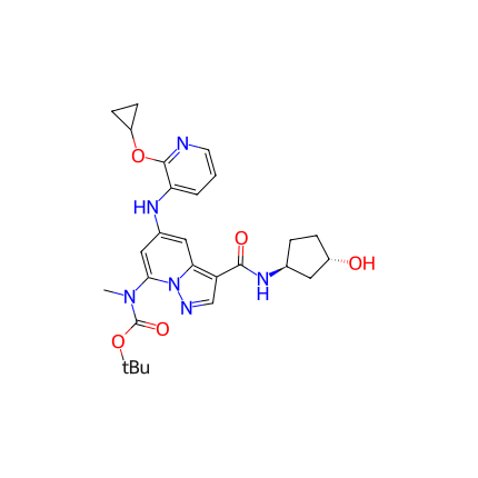 CN(C(=O)OC(C)(C)C)c1cc(Nc2cccnc2OC2CC2)cc2c(C(=O)N[C@H]3CC[C@H](O)C3)cnn12